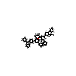 CC1(C)c2ccccc2-c2ccc(-c3nc(-c4ccccc4)c(-n4c5ccccc5c5cc(-c6ccc7c(c6)c6ccccc6n7-c6ccccc6)ccc54)c(-c4ccccc4)n3)cc21